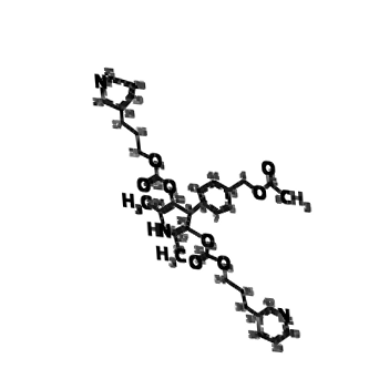 CC(=O)OCc1ccc(C2C(OC(=O)OCCCc3cccnc3)=C(C)NC(C)=C2OC(=O)OCCCc2cccnc2)cc1